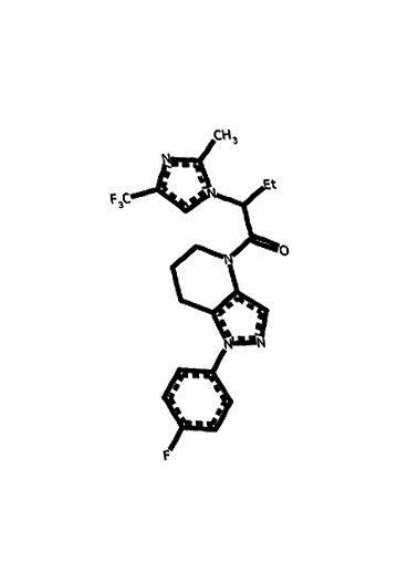 CCC(C(=O)N1CCCc2c1cnn2-c1ccc(F)cc1)n1cc(C(F)(F)F)nc1C